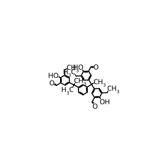 CCc1cc(C(C)(C)c2cccc(C(C)(c3cc(C=O)c(O)c(CC)c3)c3cc(C=O)c(O)c(CC)c3)c2)cc(C=O)c1O